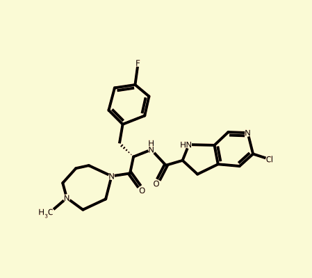 CN1CCCN(C(=O)[C@H](Cc2ccc(F)cc2)NC(=O)C2Cc3cc(Cl)ncc3N2)CC1